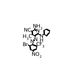 Cc1c(C#N)c(N)nc(Nc2ccccc2)c1N=Nc1c(Br)cc([N+](=O)[O-])cc1C(F)(F)F